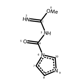 COC(=N)NC(=O)n1ccnc1